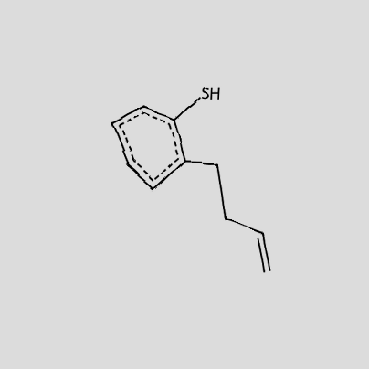 C=CCCc1ccccc1S